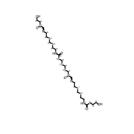 O=C(NCCSCSCC/N=C/[S+]([O-])CSCSCSC(=O)NCCSCSCC/N=C/[S+]([O-])CCO)SCCO